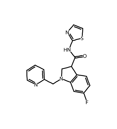 O=C(Nc1nccs1)C1CN(Cc2ccccn2)c2cc(F)ccc21